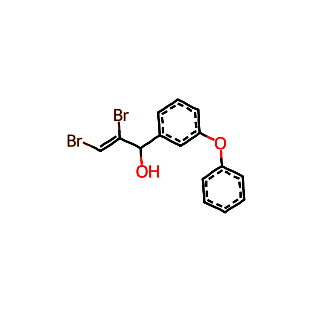 OC(C(Br)=CBr)c1cccc(Oc2ccccc2)c1